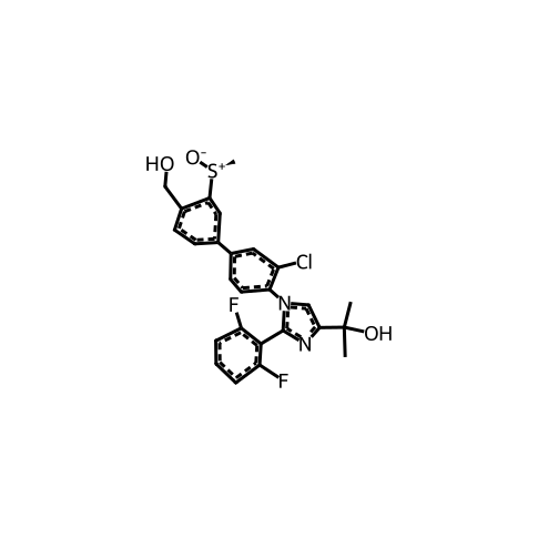 C[S@+]([O-])c1cc(-c2ccc(-n3cc(C(C)(C)O)nc3-c3c(F)cccc3F)c(Cl)c2)ccc1CO